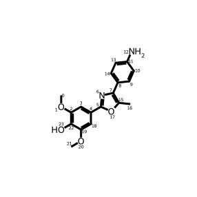 COc1cc(-c2nc(-c3ccc(N)cc3)c(C)o2)cc(OC)c1O